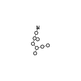 N#Cc1ccc(-c2ccc(-c3cccc(-c4cc(-c5ccccc5)cc(-c5ccc(-c6ccccc6)cc5)c4)c3)c3ccccc23)cc1